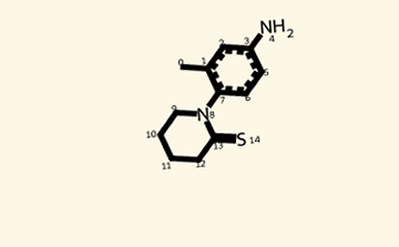 Cc1cc(N)ccc1N1CCCCC1=S